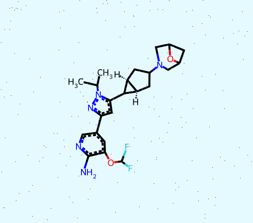 CC(C)n1nc(-c2cnc(N)c(OC(F)F)c2)cc1C1[C@H]2CC(N3CC4CC(C3)O4)C[C@@H]12